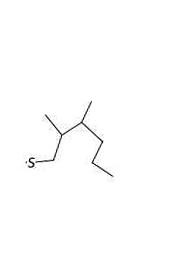 CCCC(C)C(C)C[S]